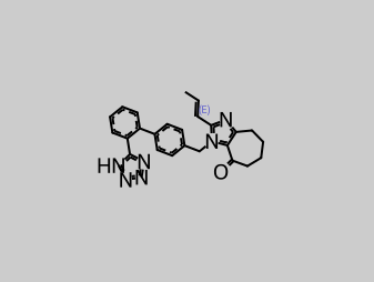 C/C=C/c1nc2c(n1Cc1ccc(-c3ccccc3-c3nnn[nH]3)cc1)C(=O)CCCC2